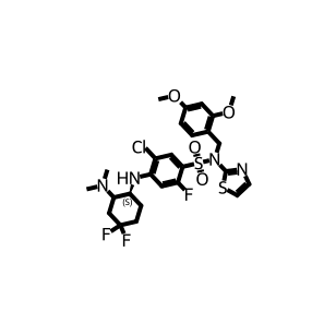 COc1ccc(CN(c2nccs2)S(=O)(=O)c2cc(Cl)c(N[C@H]3CCC(F)(F)CC3N(C)C)cc2F)c(OC)c1